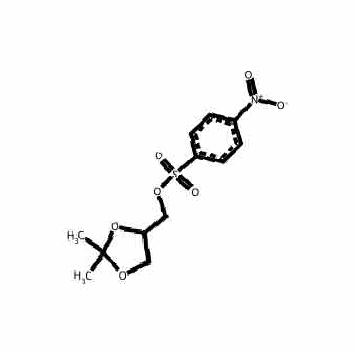 CC1(C)OCC(COS(=O)(=O)c2ccc([N+](=O)[O-])cc2)O1